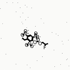 CCc1c([N+](=O)[O-])cc([N+](=O)[O-])c(OC(=O)OCC(C)F)c1[N+](=O)[O-]